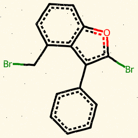 BrCc1cccc2oc(Br)c(-c3ccccc3)c12